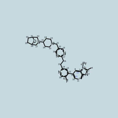 C=c1nc(C)n(C(C)C)/c1=C/C(=C\C)c1cc(CCc2ncc(CN3CCC(N4CC5CCC(C4)O5)CC3)cn2)ncc1F